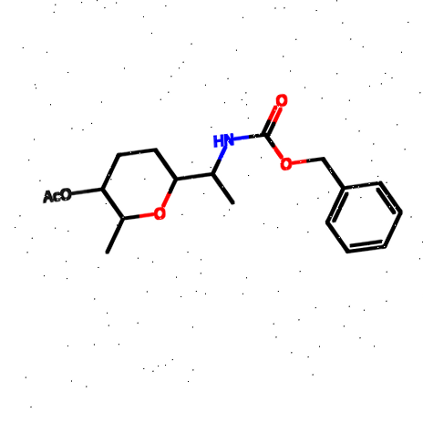 CC(=O)OC1CCC(C(C)NC(=O)OCc2ccccc2)OC1C